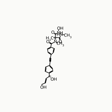 CNC(=O)[C@@](C)(C(=O)NO)N(C)C(=O)c1ccc(C#Cc2ccc([C@H](O)C=CCO)cc2)cc1